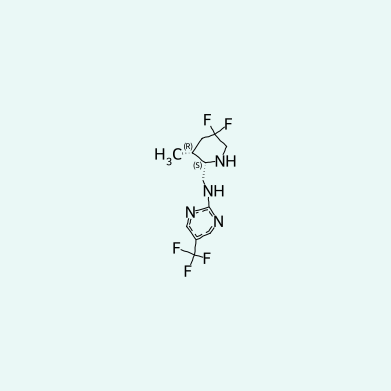 C[C@@H]1CC(F)(F)CN[C@@H]1CNc1ncc(C(F)(F)F)cn1